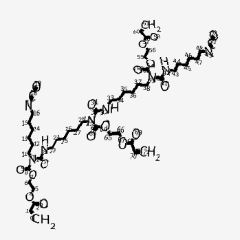 C=CC(=O)OCCOC(=O)N(CCCCCCN=C=O)C(=O)NCCCCCCN(C(=O)NCCCCCCN(C(=O)NCCCCCCN=C=O)C(=O)OCCOC(=O)C=C)C(=O)OCCOC(=O)C=C